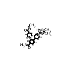 CCOC(=O)C1CCN(c2cc(C(N)=O)ccc2C2CCN(C(=O)OC(C)(C)C)CC2)CC1